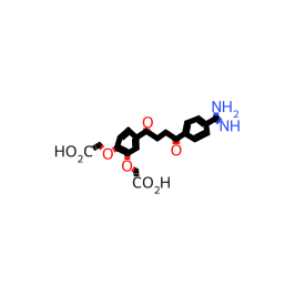 N=C(N)c1ccc(C(=O)CCC(=O)c2ccc(OCC(=O)O)c(OCC(=O)O)c2)cc1